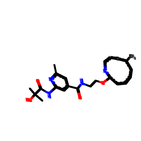 Cc1cc(C(=O)NCCOc2ccccc(C(F)(F)F)cccn2)cc(NC(=O)C(C)(C)O)n1